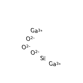 [Ga+3].[Ga+3].[O-2].[O-2].[O-2].[Si]